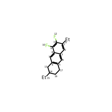 CCc1cc2cc3c(cc2c(F)c1F)CC(CC)CC3